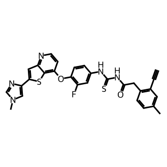 C#Cc1cc(C)ccc1CC(=O)NC(=S)Nc1ccc(Oc2ccnc3cc(-c4cn(C)cn4)sc23)c(F)c1